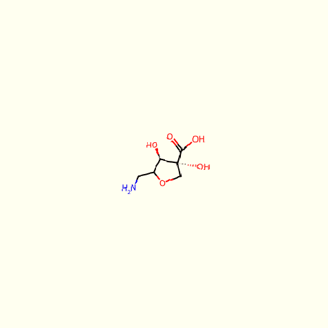 NCC1OC[C@](O)(C(=O)O)[C@@H]1O